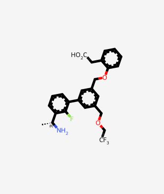 C[C@@H](N)c1cccc(-c2cc(COCC(F)(F)F)cc(COc3ccccc3CC(=O)O)c2)c1F